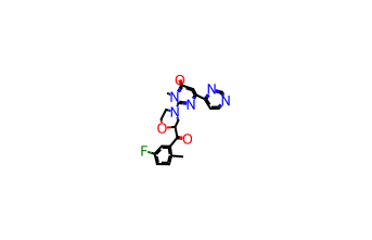 Cc1ccc(F)cc1C(=O)C1CN(c2nc(-c3ccncn3)cc(=O)n2C)CCO1